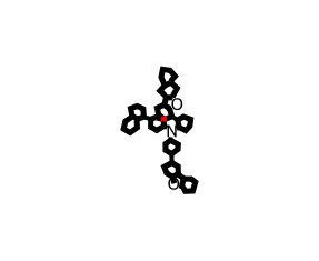 c1ccc(N(c2ccc(-c3ccc4oc5ccccc5c4c3)cc2)c2ccc(-c3cccc4ccccc34)cc2)c(-c2cccc3c2oc2cc4ccccc4cc23)c1